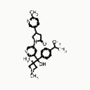 Cc1ccc(C2CC(=O)N(c3cncc(C(O)(c4ccc(C(C)C)cc4)C4(C)CN(C)C4)c3)C2)cn1